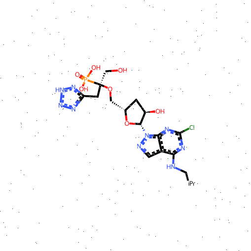 CC(C)CNc1nc(Cl)nc2c1cnn2[C@@H]1O[C@H](CO[C@@](CO)(Cc2nn[nH]n2)P(=O)(O)O)C[C@H]1O